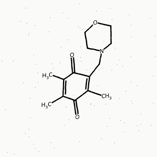 CC1=C(C)C(=O)C(CN2CCOCC2)=C(C)C1=O